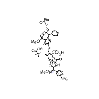 C=C1S[C@@H]2[C@H](NC(=O)/C(=N\OC)c3csc(N)n3)C(=O)N2C(C(=O)O)=C1CSc1nc(C(=O)OC)n(C(C(=O)OCOC(=O)C(C)(C)C)c2ccccc2)n1.CC(C)(C)C(=O)O